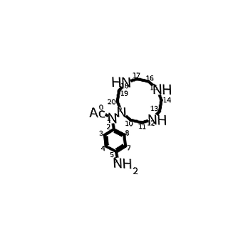 CC(=O)N(c1ccc(N)cc1)N1CCNCCNCCNCC1